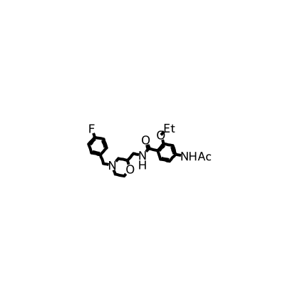 CCOc1cc(NC(C)=O)ccc1C(=O)NCC1CN(Cc2ccc(F)cc2)CCO1